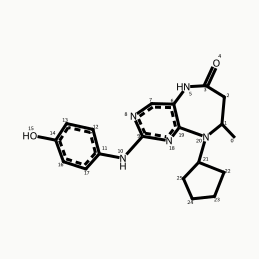 CC1CC(=O)Nc2cnc(Nc3ccc(O)cc3)nc2N1C1CCCC1